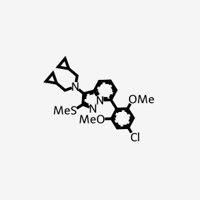 COc1cc(Cl)cc(OC)c1-c1cccc2c(N(CC3CC3)CC3CC3)c(SC)nn12